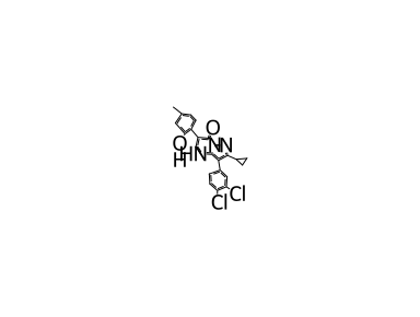 Cc1ccc(-c2c[nH]c3c(-c4ccc(Cl)c(Cl)c4)c(C4CC4)nn3c2=O)c(O)c1